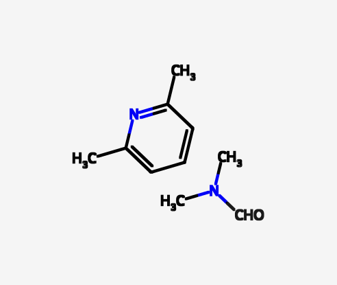 CN(C)C=O.Cc1cccc(C)n1